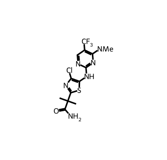 CNc1nc(Nc2sc(C(C)(C)C(N)=O)nc2Cl)ncc1C(F)(F)F